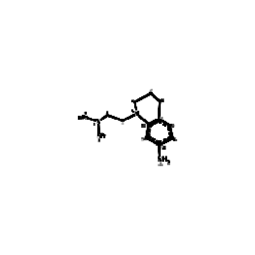 CCCN(CCC)CCN1CCCc2ccc(N)cc21